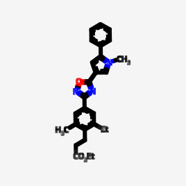 CCOC(=O)CCc1c(C)cc(-c2noc(-c3cc(-c4ccccc4)n(C)c3)n2)cc1CC